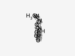 Cn1cc(-c2cc(Oc3ccc(NC(=O)N4CCC5(CCOCC5)C4=O)nc3)ccn2)cn1